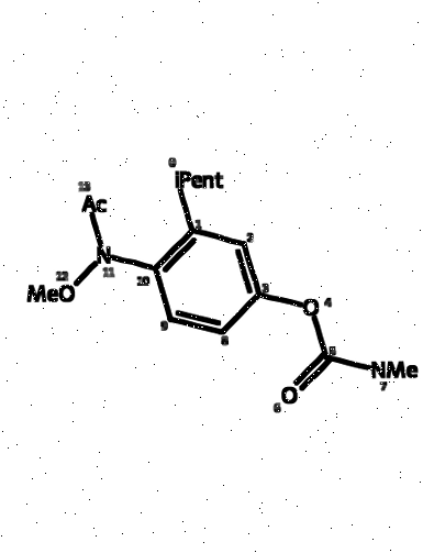 CCCC(C)c1cc(OC(=O)NC)ccc1N(OC)C(C)=O